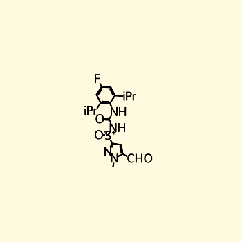 CC(C)c1cc(F)cc(C(C)C)c1NC(=O)N[S+]([O-])c1cc(C=O)n(C)n1